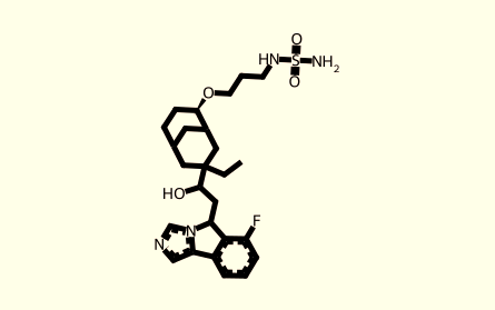 CCC1(C(O)CC2c3c(F)cccc3-c3cncn32)CC2CC[C@@H](OCCCNS(N)(=O)=O)C(C2)C1